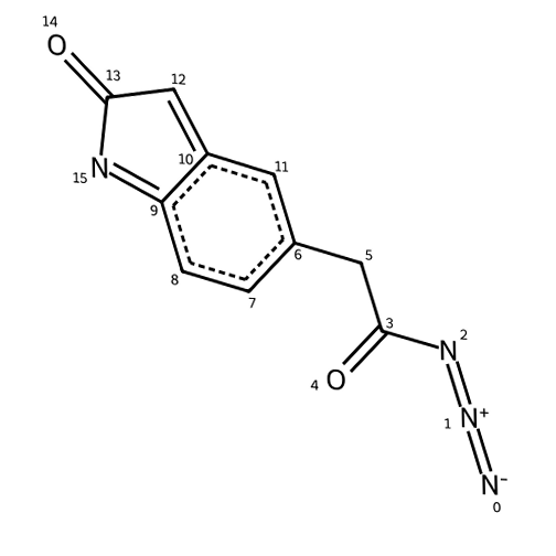 [N-]=[N+]=NC(=O)Cc1ccc2c(c1)=CC(=O)N=2